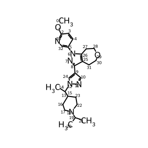 COc1ccc(-n2nc(-c3cnn(C(C)C4CCN(C(C)C)CC4)c3)c3c2CCOCC3)cn1